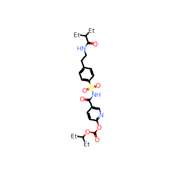 CCC(CC)OC(=O)Oc1ccc(C(=O)NS(=O)(=O)c2ccc(CCNC(=O)C(CC)CC)cc2)cn1